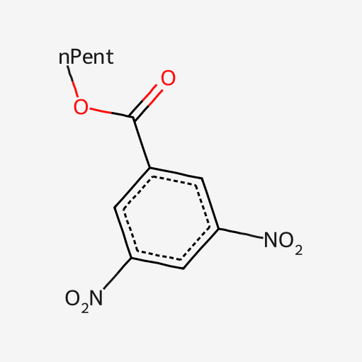 CCCCCOC(=O)c1cc([N+](=O)[O-])cc([N+](=O)[O-])c1